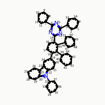 c1ccc(-c2nc(-c3ccccc3)nc(-c3ccc(-c4ccc5c(c4)c4ccccc4n5-c4ccccc4)c(-c4ccccc4)c3-c3ccccc3)n2)cc1